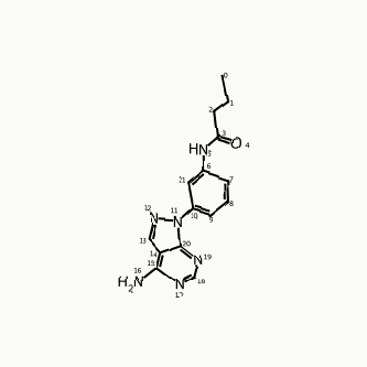 CCCC(=O)Nc1cccc(-n2ncc3c(N)ncnc32)c1